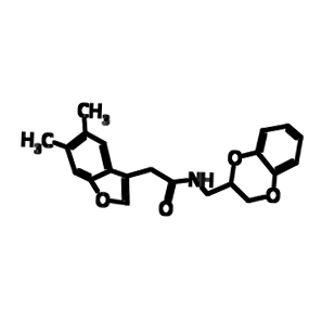 Cc1cc2occ(CC(=O)NCC3COc4ccccc4O3)c2cc1C